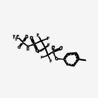 Cc1ccc(OS(=O)(=O)C(F)(F)C(F)(F)C(F)(F)S(=O)(=O)NS(=O)(=O)C(F)(F)F)cc1